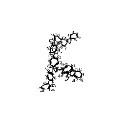 CC1CC=C(c2ccccc2)Oc2ccc3oc4ccc(-c5ccc(N(c6ccc7c(c6)sc6ccccc67)c6ccc7c(c6)sc6ccccc67)cc5)cc4c3c21